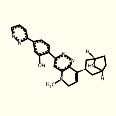 CN1CC=C([C@@H]2C[C@H]3CC[C@@H](C2)N3)c2nnc(-c3ccc(-c4cccnn4)cc3O)cc21